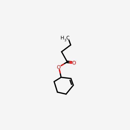 CCCC(=O)OC1C=CCCC1